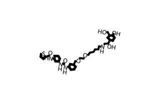 O=C(Nc1cccc(COCCOCCCCCCNC[C@H](O)c2ccc(O)c(CO)c2)c1)Nc1cccc(NC(=O)c2cccs2)c1